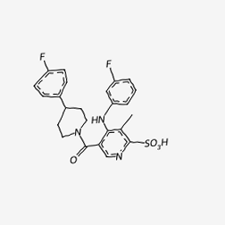 Cc1c(S(=O)(=O)O)ncc(C(=O)N2CCC(c3ccc(F)cc3)CC2)c1Nc1cccc(F)c1